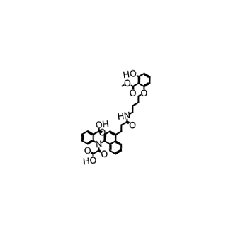 COC(=O)c1c(O)cccc1OCCCCNC(=O)CCc1ccc(N(C(=O)C(=O)O)c2ccccc2C(=O)O)c2ccccc12